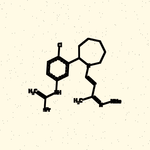 C=C(CCC)Nc1ccc(Cl)c(C2CCCCCN2/C=C/C(C)=N\NC)c1